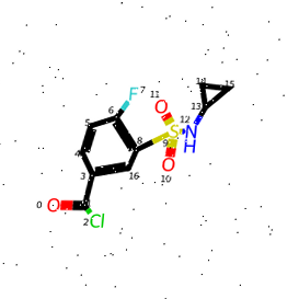 O=C(Cl)c1ccc(F)c(S(=O)(=O)NC2CC2)c1